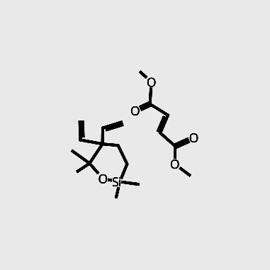 C=CC1(C=C)CC[Si](C)(C)OC1(C)C.COC(=O)/C=C/C(=O)OC